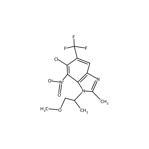 COCC(C)n1c(C)nc2cc(C(F)(F)F)c(Cl)c([N+](=O)[O-])c21